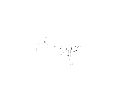 COC1CCC([C@H]2CCN(C(=O)[C@H]3CC[C@H]([C@@H](CF)NC(=O)OC(C)(C)C)CC3)[C@H]2C(=O)Nc2ccc3[nH]c(C(=O)O)cc3c2)CC1